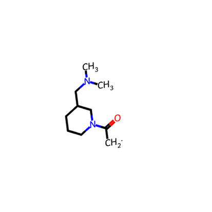 [CH2]C(=O)N1CCCC(CN(C)C)C1